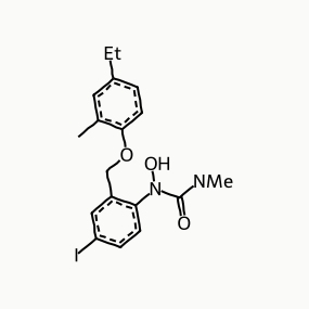 CCc1ccc(OCc2cc(I)ccc2N(O)C(=O)NC)c(C)c1